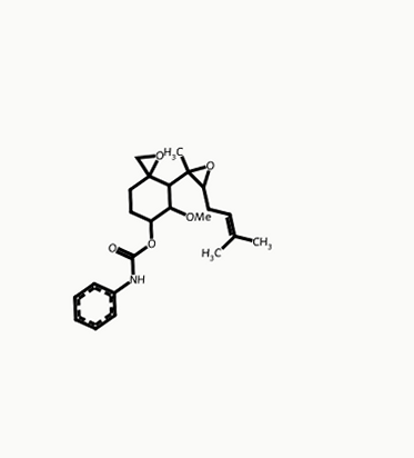 COC1C(OC(=O)Nc2ccccc2)CCC2(CO2)C1C1(C)OC1CC=C(C)C